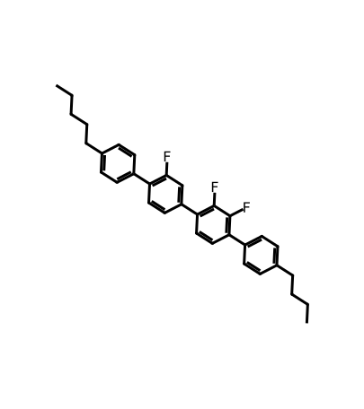 CCCCCc1ccc(-c2ccc(-c3ccc(-c4ccc(CCCC)cc4)c(F)c3F)cc2F)cc1